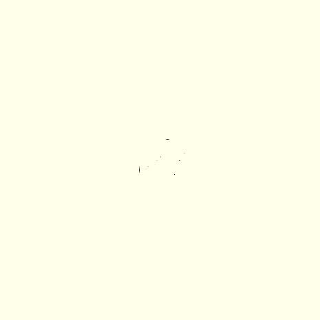 ClP(Cl)Cl.S